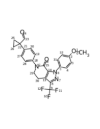 COc1ccc(-n2nc(C(F)(F)F)c3c2C(=O)N(c2ccc(C4(C=O)CC4)cc2)CC3)cc1